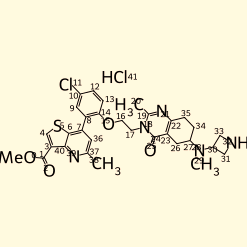 COC(=O)c1csc2c(-c3cc(Cl)ccc3OCCn3c(C)nc4c(c3=O)CC(N(C)C3CNC3)CC4)cc(C)nc12.Cl